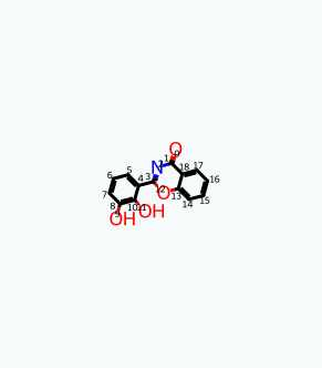 O=c1nc(-c2cccc(O)c2O)oc2ccccc12